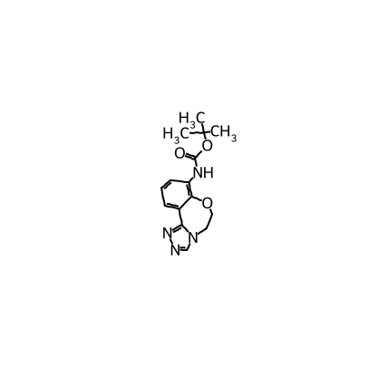 CC(C)(C)OC(=O)Nc1cccc2c1OCCn1cnnc1-2